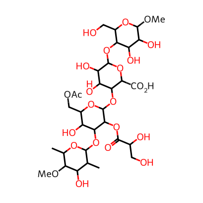 COC1OC(CO)C(OC2OC(C(=O)O)C(OC3OC(COC(C)=O)C(O)C(OC4OC(C)C(OC)C(O)C4C)C3OC(=O)C(O)CO)C(O)C2O)C(O)C1O